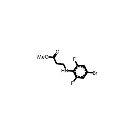 COC(=O)CCNc1c(F)cc(Br)cc1F